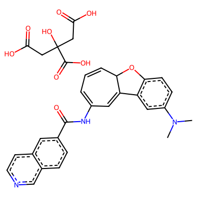 CN(C)c1ccc2c(c1)C1=CC(NC(=O)c3ccc4cnccc4c3)=CC=CC1O2.O=C(O)CC(O)(CC(=O)O)C(=O)O